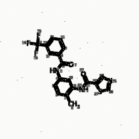 Cc1ccc(NC(=O)c2cccc(C(F)(F)F)c2)cc1NC(=O)c1cncs1